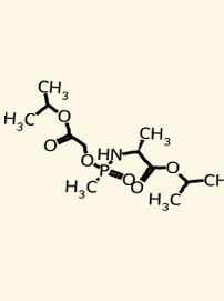 CC(C)OC(=O)CO[P@](C)(=O)N[C@@H](C)C(=O)OC(C)C